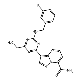 CCc1nc(NCc2cccc(F)c2)nc(-c2cnn3c(C(N)=O)cccc23)n1